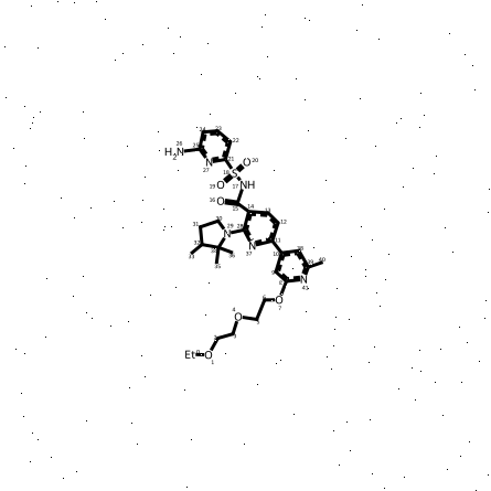 CCOCCOCCOc1cc(-c2ccc(C(=O)NS(=O)(=O)c3cccc(N)n3)c(N3CCC(C)C3(C)C)n2)cc(C)n1